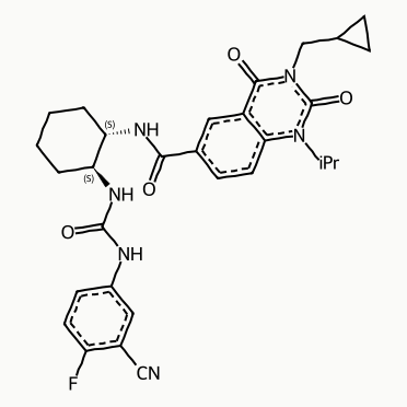 CC(C)n1c(=O)n(CC2CC2)c(=O)c2cc(C(=O)N[C@H]3CCCC[C@@H]3NC(=O)Nc3ccc(F)c(C#N)c3)ccc21